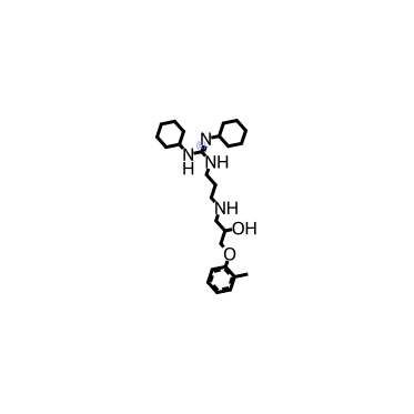 Cc1ccccc1OCC(O)CNCCCN/C(=N\C1CCCCC1)NC1CCCCC1